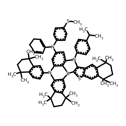 CSc1ccc(N(C2=CCCC=C2)c2cc3c4c(c2)N(c2ccc(C(C)C)cc2)c2c(sc5cc6c(cc25)C(C)(C)CCC6(C)C)B4c2cc4c(cc2N3c2ccc3c(c2)C(C)(C)CCC3(C)C)C(C)(C)CCC4(C)C)cc1